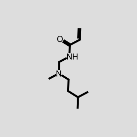 C=CC(=O)NCN(C)CCC(C)C